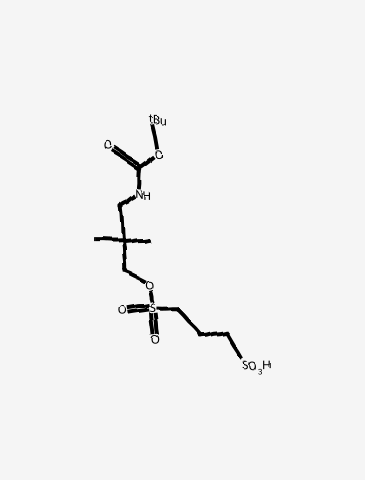 CC(C)(CNC(=O)OC(C)(C)C)COS(=O)(=O)CCCS(=O)(=O)O